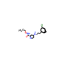 CCONC(=O)c1cc(NCCCc2cccc(Cl)c2)ccn1